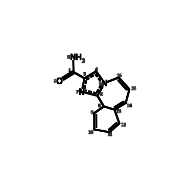 NC(=O)c1cn2c(n1)C1C=CC=CC1=CC=C2